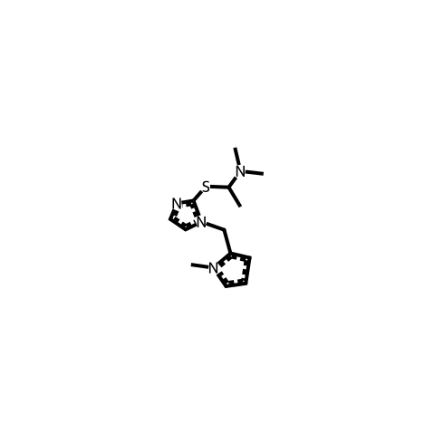 CC(Sc1nccn1Cc1cccn1C)N(C)C